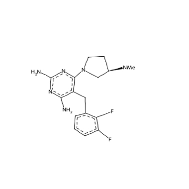 CN[C@@H]1CCN(c2nc(N)nc(N)c2Cc2cccc(F)c2F)C1